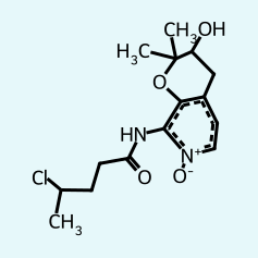 CC(Cl)CCC(=O)Nc1c2c(cc[n+]1[O-])CC(O)C(C)(C)O2